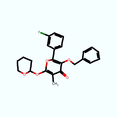 Cc1c(OC2CCCCO2)oc(-c2cccc(F)c2)c(OCc2ccccc2)c1=O